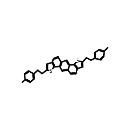 Cc1ccc(CCc2cc3ccc4cc5c(ccc6cc(CCc7ccc(C)cc7)sc65)cc4c3s2)cc1